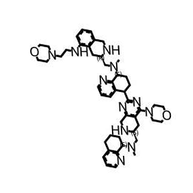 CN(C[C@@H]1Cc2c(nc(C3CC[C@H](N(C)C[C@H]4Cc5c(cccc5NCCN5CCOCC5)CN4)c4ncccc43)nc2N2CCOCC2)CN1)[C@H]1CCCc2cccnc21